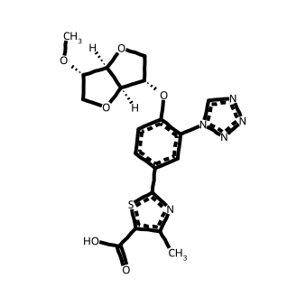 CO[C@H]1CO[C@H]2[C@@H]1OC[C@@H]2Oc1ccc(-c2nc(C)c(C(=O)O)s2)cc1-n1cnnn1